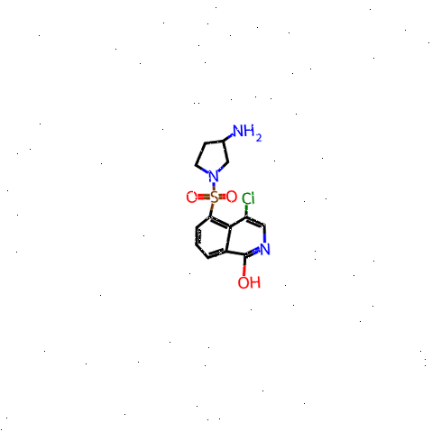 NC1CCN(S(=O)(=O)c2cccc3c(O)ncc(Cl)c23)C1